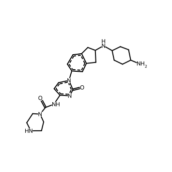 NC1CCC(NC2Cc3ccc(-n4ccc(NC(=O)N5CCNCC5)nc4=O)cc3C2)CC1